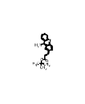 CC(C)(C)OC(=O)CCc1ccc2nc3ccccc3c(N)c2c1